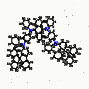 c1ccc(N(c2ccc3c(c2)c2ccccc2n3-c2ccc3c(c2)C2(c4ccccc4-c4ccccc42)c2ccccc2-3)c2c3ccccc3c(N(c3ccccc3)c3ccc4c(c3)c3ccccc3n4-c3ccc4c(c3)C3(c5ccccc5-c5ccccc53)c3ccccc3-4)c3ccccc23)cc1